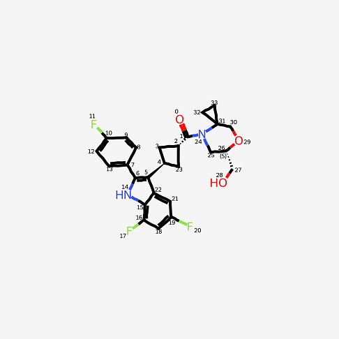 O=C([C@H]1C[C@H](c2c(-c3ccc(F)cc3)[nH]c3c(F)cc(F)cc32)C1)N1C[C@@H](CO)OCC12CC2